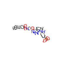 CC(C)COC(=O)ON1CCC(Oc2ncnc(Nc3ccc(S(C)(=O)=O)cc3)c2C#N)CC1